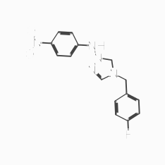 O=[N+]([O-])c1ccc(NN2CN(Cc3ccc(F)cc3)C=N2)cc1